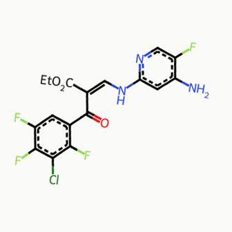 CCOC(=O)C(=CNc1cc(N)c(F)cn1)C(=O)c1cc(F)c(F)c(Cl)c1F